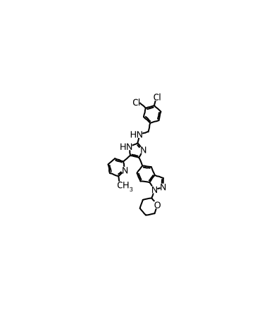 Cc1cccc(-c2[nH]c(NCc3ccc(Cl)c(Cl)c3)nc2-c2ccc3c(cnn3C3CCCCO3)c2)n1